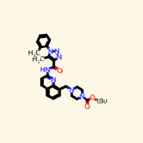 Cc1ccccc1-n1nnc(C(=O)Nc2ccc3cccc(CN4CCN(C(=O)OC(C)(C)C)CC4)c3n2)c1C